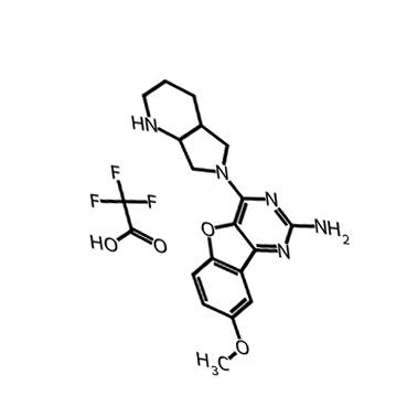 COc1ccc2oc3c(N4CC5CCCNC5C4)nc(N)nc3c2c1.O=C(O)C(F)(F)F